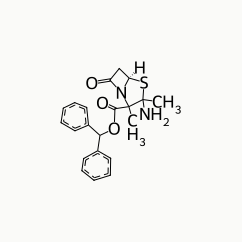 CC1(N)S[C@@H]2CC(=O)N2C1(C)C(=O)OC(c1ccccc1)c1ccccc1